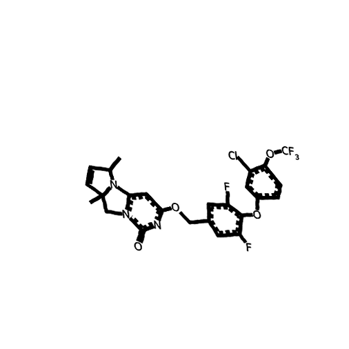 CC1C=CC2(C)Cn3c(cc(OCc4cc(F)c(Oc5ccc(OC(F)(F)F)c(Cl)c5)c(F)c4)nc3=O)N12